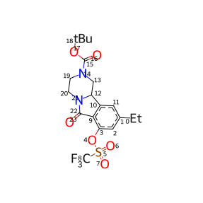 CCc1cc(OS(=O)(=O)C(F)(F)F)c2c(c1)C1CN(C(=O)OC(C)(C)C)CCN1C2=O